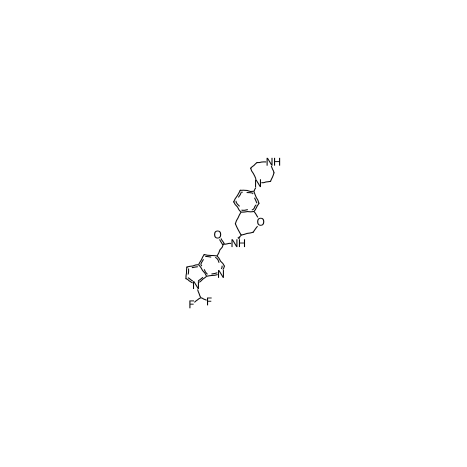 O=C(N[C@@H]1COc2cc(N3CCNCC3)ccc2C1)c1cnc2c(ccn2C(F)F)c1